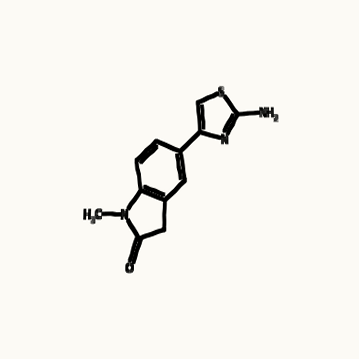 CN1C(=O)Cc2cc(-c3csc(N)n3)ccc21